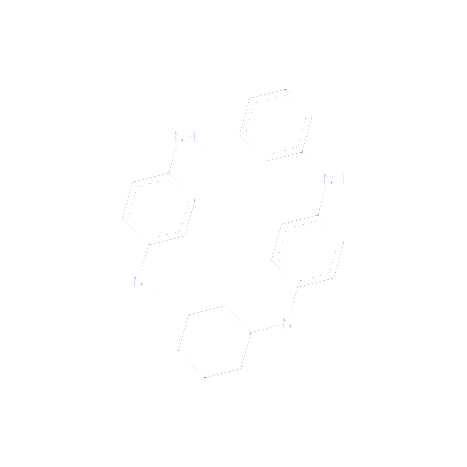 Nc1ccc(N)cc1.c1ccc(Nc2ccc(NC3CCCCC3)cc2)cc1